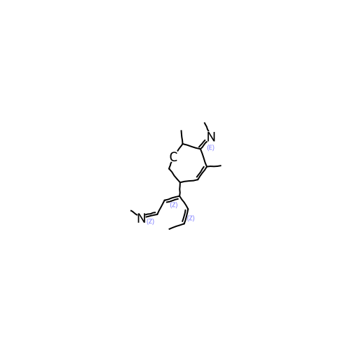 C\C=C/C(=C\C=N/C)C1C=C(C)/C(=N/C)C(C)CC1